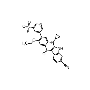 CCOc1cc2c(=O)c3c4ccc(C#N)cc4[nH]c3n(C3CC3)c2cc1-c1cncc(S(=O)(=O)F)c1